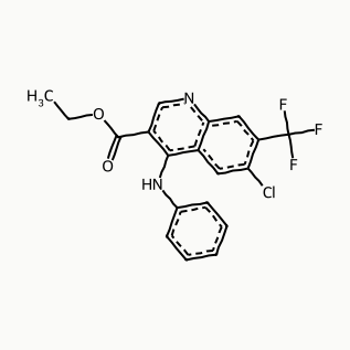 CCOC(=O)c1cnc2cc(C(F)(F)F)c(Cl)cc2c1Nc1ccccc1